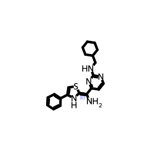 N/C(=C1\NC(c2ccccc2)=CS1)c1ccnc(NCC2CCCCC2)n1